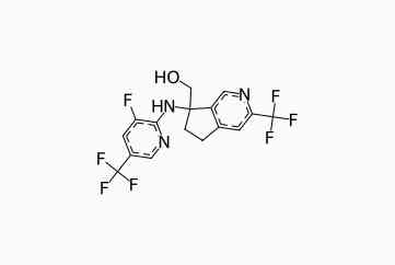 OCC1(Nc2ncc(C(F)(F)F)cc2F)CCc2cc(C(F)(F)F)ncc21